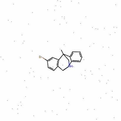 CC12CNC(Cc3ccccc31)c1ccc(Br)cc12